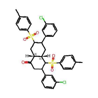 Cc1ccc(S(=O)(=O)C2C[C@H]3C(=O)CC(c4cccc(Cl)c4)C(S(=O)(=O)c4ccc(C)cc4)[C@H]3CC2c2cccc(Cl)c2)cc1